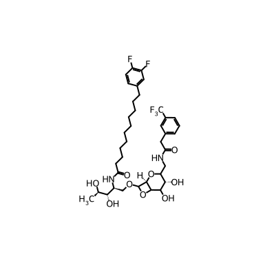 C[C@@H](O)[C@@H](O)[C@H](COC1OC2C(O)[C@@H](O)C(CNC(=O)Cc3cccc(C(F)(F)F)c3)O[C@H]12)NC(=O)CCCCCCCCCCc1ccc(F)c(F)c1